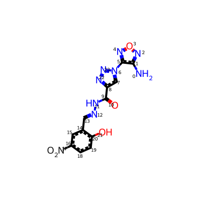 Nc1nonc1-n1cc(C(=O)NN=Cc2cc([N+](=O)[O-])ccc2O)nn1